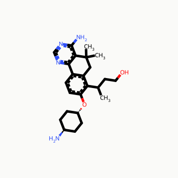 CC(CCO)c1c(O[C@H]2CC[C@H](N)CC2)ccc2c1CC(C)(C)c1c(N)ncnc1-2